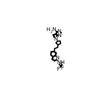 Nc1ncnc2c1ccn2C1CCC(CCc2ccc3ccc(NCC(F)(F)F)nc3c2)C1